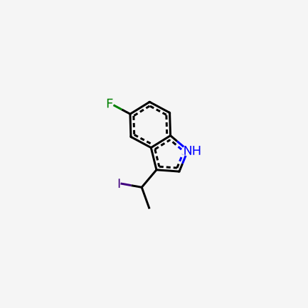 CC(I)c1c[nH]c2ccc(F)cc12